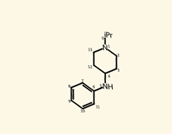 CC(C)N1CCC(Nc2ccccc2)CC1